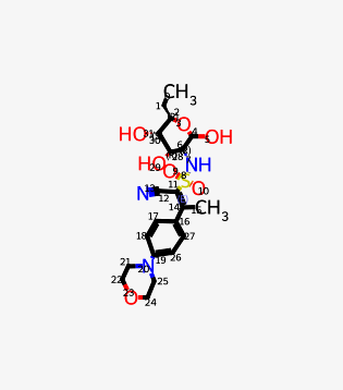 CC[C@H]1OC(O)[C@H](NS(=O)(=O)/C(C#N)=C(\C)c2ccc(N3CCOCC3)cc2)[C@@H](O)[C@@H]1O